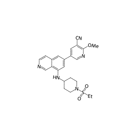 CCS(=O)(=O)N1CCC(Nc2cc(-c3cnc(OC)c(C#N)c3)cc3ccncc23)CC1